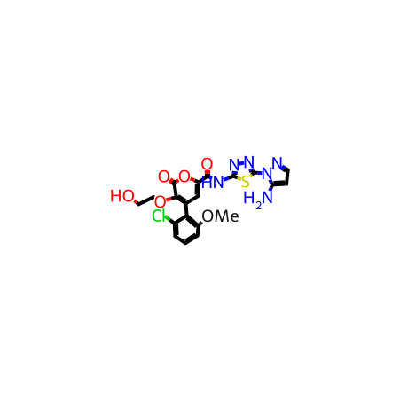 COc1cccc(Cl)c1-c1cc(C(=O)Nc2nnc(-n3nccc3N)s2)oc(=O)c1OCCO